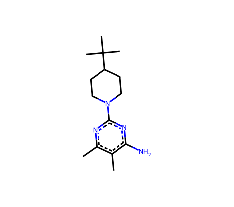 Cc1nc(N2CCC(C(C)(C)C)CC2)nc(N)c1C